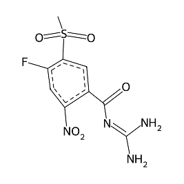 CS(=O)(=O)c1cc(C(=O)N=C(N)N)c([N+](=O)[O-])cc1F